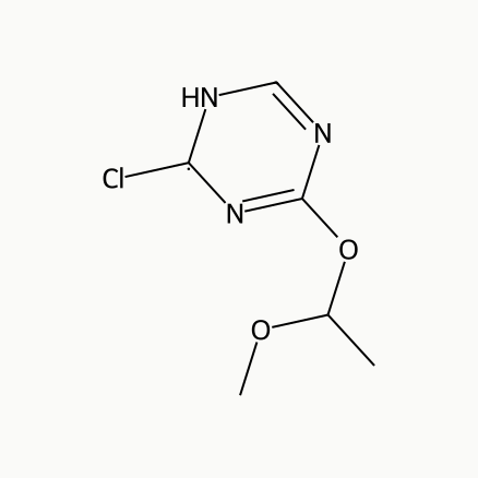 COC(C)OC1=N[C](Cl)NC=N1